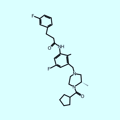 Cc1c(CN2CCN(C(=O)C3CCCC3)[C@@H](C)C2)cc(F)cc1NC(=O)CCc1cccc(F)c1